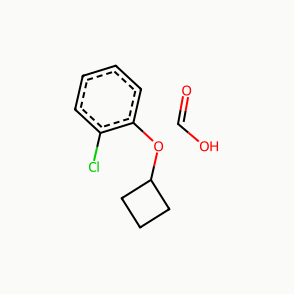 Clc1ccccc1OC1CCC1.O=CO